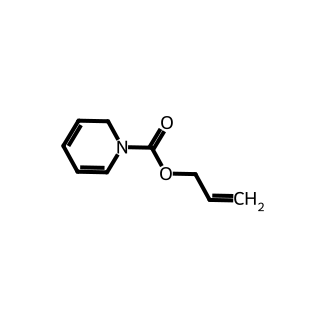 C=CCOC(=O)N1C=CC=CC1